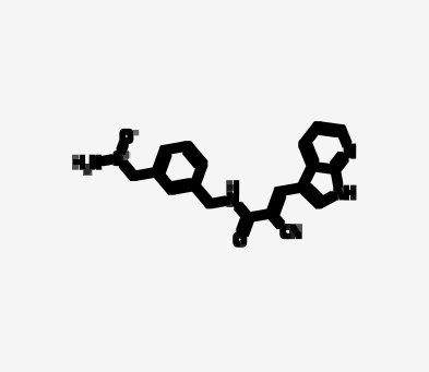 N#C/C(=C\c1c[nH]c2ncccc12)C(=O)NCc1cccc(C[S+](N)[O-])c1